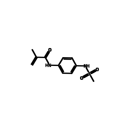 C=C(C)C(=O)Nc1ccc(NS(C)(=O)=O)cc1